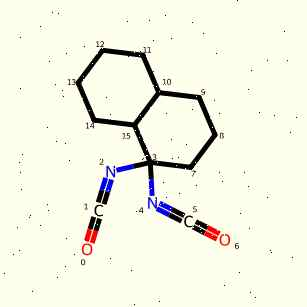 O=C=NC1(N=C=O)CCCC2CCCCC21